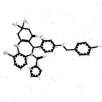 CC1(C)CC(=O)C2=C(C1)Nc1c(O)cccc1N(C(=O)c1cscn1)C2c1ccc(OCc2ccc(F)cc2)cc1F